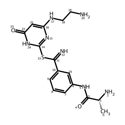 C[C@@H](N)C(=O)Nc1cccc(C(=N)Sc2nc(NCCN)cc(=O)[nH]2)c1